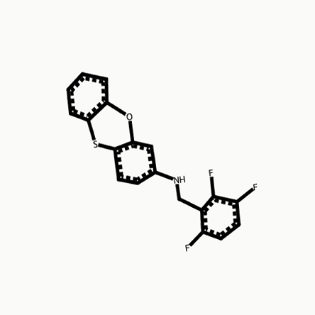 Fc1ccc(F)c(CNc2ccc3c(c2)Oc2ccccc2S3)c1F